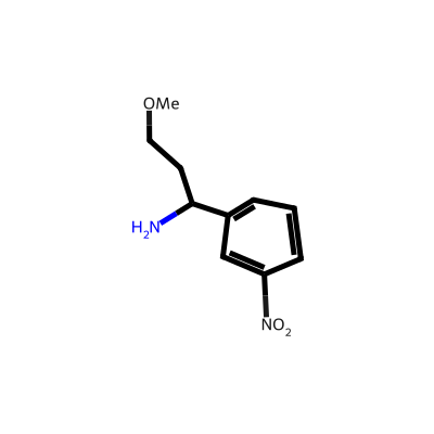 COCCC(N)c1cccc([N+](=O)[O-])c1